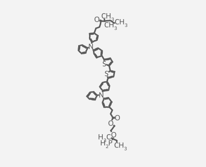 CCCC(C)(C)C(=O)CCc1ccc(N(c2ccccc2)c2ccc(-c3ccc(-c4ccc(-c5ccc(N(c6ccccc6)c6ccc(CCC(=O)OCCOC(C)(P)CC)cc6)cc5)s4)s3)cc2)cc1